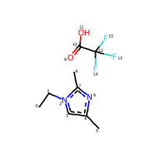 CCn1cc(C)nc1C.O=C(O)C(F)(F)F